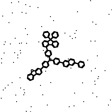 c1ccc(-c2ccc3cc(-c4ccc(N(c5ccc(-c6ccc7c(c6)oc6ccccc67)cc5)c5ccc(-c6cccc7c6-c6ccccc6C7(c6ccccc6)c6ccccc6)cc5)cc4)ccc3c2)cc1